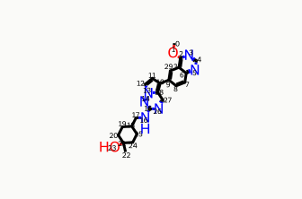 COc1ncnc2ccc(-c3ccn4nc(NCC5CCC(C)(O)CC5)ncc34)cc12